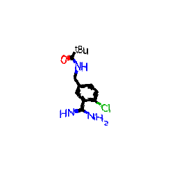 CC(C)(C)C(=O)NCc1ccc(Cl)c(C(=N)N)c1